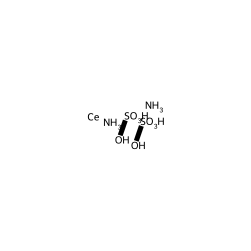 N.N.O=S(=O)(O)O.O=S(=O)(O)O.[Ce]